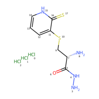 Cl.Cl.Cl.NNC(=O)[C@@H](N)CSc1ccc[nH]c1=S